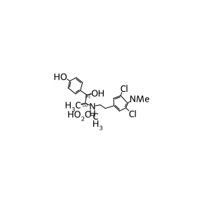 CC(=O)O.CNc1c(Cl)cc(CCN[C@@H](C)[C@H](O)c2ccc(O)cc2)cc1Cl